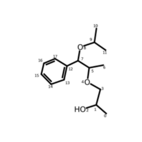 CC(O)COC(C)C(OC(C)C)c1ccccc1